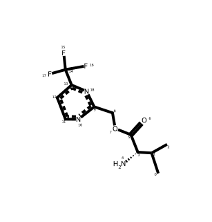 CC(C)[C@H](N)C(=O)OCc1nccc(C(F)(F)F)n1